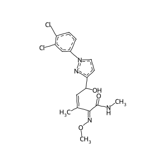 CNC(=O)C(=N/OC)/C(C)=C\C(O)c1ccn(-c2ccc(Cl)c(Cl)c2)n1